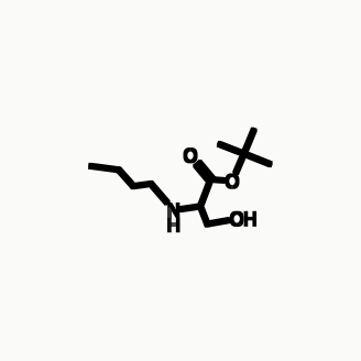 CCCCNC(CO)C(=O)OC(C)(C)C